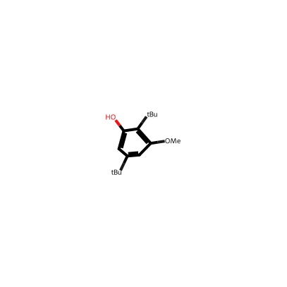 COc1cc(C(C)(C)C)cc(O)c1C(C)(C)C